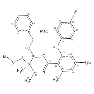 CCOCC1(C)C(OCc2ccccc2)=CC(c2c(C)cc(C(C)(C)C)cc2Oc2ccc(F)cc2OC)=NC1C